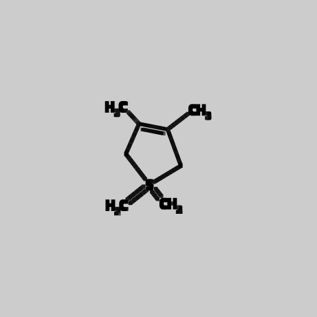 C=S1(=C)CC(C)=C(C)C1